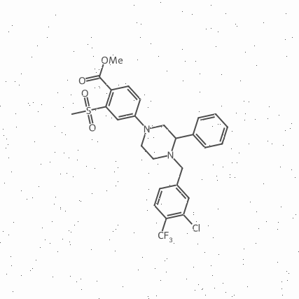 COC(=O)c1ccc(N2CCN(Cc3ccc(C(F)(F)F)c(Cl)c3)C(c3ccccc3)C2)cc1S(C)(=O)=O